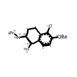 COc1ccc2c(c1Cl)CCC(NC(C)C)C2O